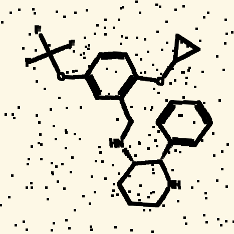 FC(F)(F)Oc1ccc(OC2CC2)c(CN[C@H]2CCCN[C@H]2c2ccccc2)c1